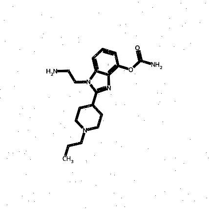 CCCN1CCC(c2nc3c(OC(N)=O)cccc3n2CCN)CC1